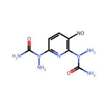 NC(=O)N(N)c1ccc(N=O)c(N(N)C(N)=O)n1